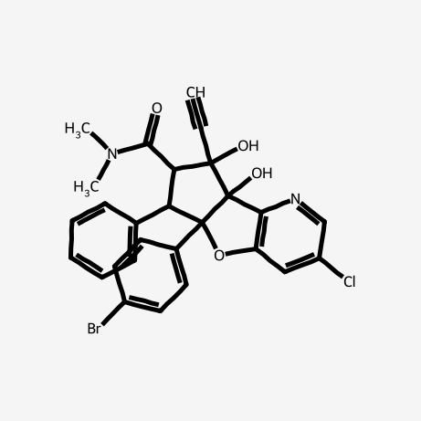 C#CC1(O)C(C(=O)N(C)C)C(c2ccccc2)C2(c3ccc(Br)cc3)Oc3cc(Cl)cnc3C12O